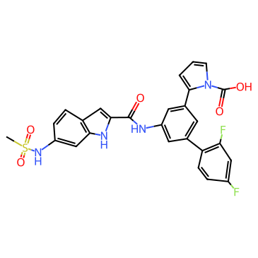 CS(=O)(=O)Nc1ccc2cc(C(=O)Nc3cc(-c4ccc(F)cc4F)cc(-c4cccn4C(=O)O)c3)[nH]c2c1